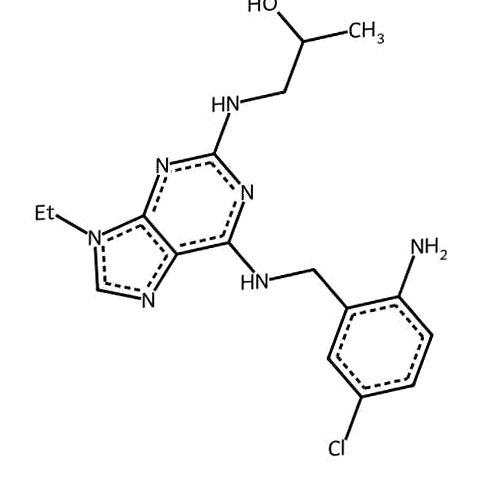 CCn1cnc2c(NCc3cc(Cl)ccc3N)nc(NCC(C)O)nc21